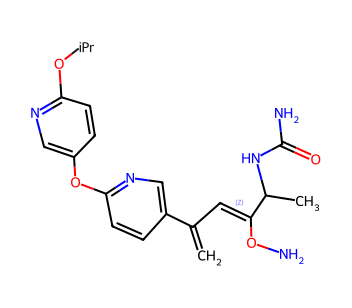 C=C(/C=C(\ON)C(C)NC(N)=O)c1ccc(Oc2ccc(OC(C)C)nc2)nc1